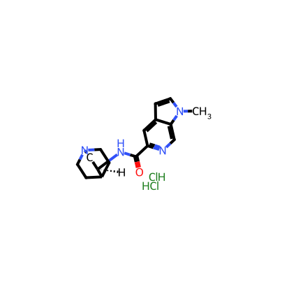 Cl.Cl.Cn1ccc2cc(C(=O)N[C@@H]3CN4CCC3CC4)ncc21